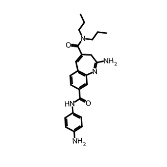 CCCN(CCC)C(=O)C1=Cc2ccc(C(=O)Nc3ccc(N)cc3)cc2N=C(N)C1